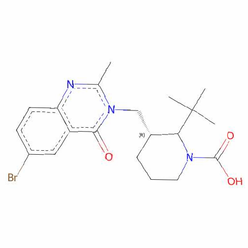 Cc1nc2ccc(Br)cc2c(=O)n1C[C@H]1CCCN(C(=O)O)C1C(C)(C)C